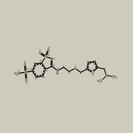 CN(C)Cc1ccc(CSCCNC2=NS(=O)(=O)c3cc(S(N)(=O)=O)ccc32)o1